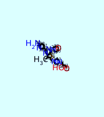 Cc1c(CN2CCN(C[C@H](O)C=O)CC2)sc2c(N3CCOCC3)nc(-c3ccc(N)nc3)nc12